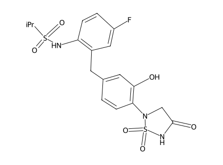 CC(C)S(=O)(=O)Nc1ccc(F)cc1Cc1ccc(N2CC(=O)NS2(=O)=O)c(O)c1